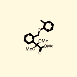 COC(=O)C(OC)(OC)c1ccccc1COc1ccccc1C